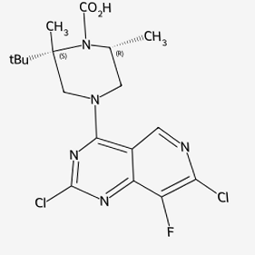 C[C@@H]1CN(c2nc(Cl)nc3c(F)c(Cl)ncc23)C[C@](C)(C(C)(C)C)N1C(=O)O